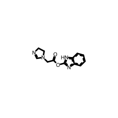 O=C(CN1C=NCC1)Oc1nc2ccccc2[nH]1